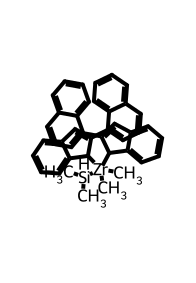 C[SiH](C)[Zr]([CH3])([CH3])([CH]1C(c2cccc3ccccc23)=Cc2ccccc21)[CH]1C(c2cccc3ccccc23)=Cc2ccccc21